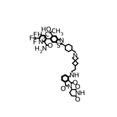 CC(C)(O)c1cc2nc(C3CCC(CN4CC5(CC(CCNc6cccc7c6C(=O)N(C6CCC(=O)NC6=O)C7=O)C5)C4)CC3)sc2cc1-c1ccc(C(F)(F)F)nc1C(N)=O